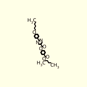 CCCCCCOc1ccc(-c2ncc(C(=O)Oc3ccc(C(=O)OC(C)CCCC)cc3)cn2)cc1